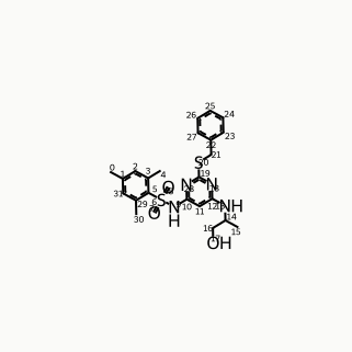 Cc1cc(C)c(S(=O)(=O)Nc2cc(NC(C)CO)nc(SCc3ccccc3)n2)c(C)c1